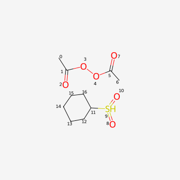 CC(=O)OOC(C)=O.O=[SH](=O)C1CCCCC1